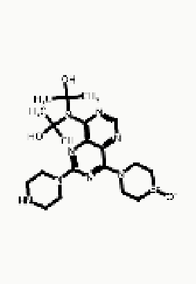 CC(C)(O)N(c1ncnc2c(N3CC[S+]([O-])CC3)nc(N3CCNCC3)nc12)C(C)(C)O